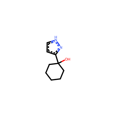 OC1(c2cc[nH]n2)CCCCC1